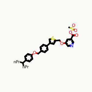 CCCC(CCC)c1ccc(OCc2ccc(-c3csc(COc4cncc(C(=O)OS(C)(=O)=O)c4)c3)cc2)cc1